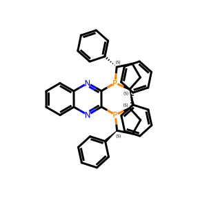 c1ccc([C@@H]2CC[C@@H](c3ccccc3)P2c2nc3ccccc3nc2P2[C@H](c3ccccc3)CC[C@H]2c2ccccc2)cc1